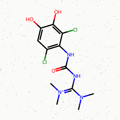 CN(C)C(NC(=O)Nc1c(Cl)cc(O)c(O)c1Cl)=[N+](C)C